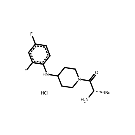 CC(C)(C)[C@H](N)C(=O)N1CCC(Nc2ccc(F)cc2F)CC1.Cl